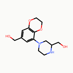 OCc1cc2c(c(N3CCNC(CO)C3)c1)OCCO2